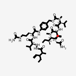 C=CC(CC)C(C)C(=O)NN[C@H](C(=O)N[C@@H](CCCNC(N)=O)C(=O)Nc1ccc(COC(=O)N(C)[C@H](C(=O)N[C@H](C(=O)N(C)[C@@H]([C@@H](C)CC)[C@@H](CC(N)=O)OC)C(C)C)C(C)C)cc1)C(C)C